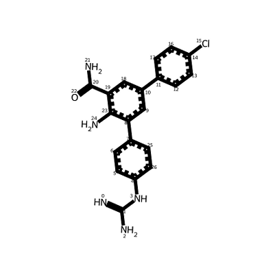 N=C(N)Nc1ccc(-c2cc(-c3ccc(Cl)cc3)cc(C(N)=O)c2N)cc1